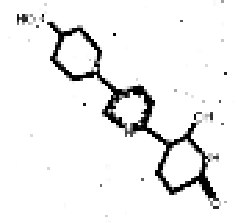 O=C1CCC(c2ccc(N3CCC(C(=O)O)CC3)cn2)C(O)N1